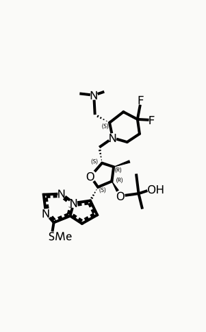 CSc1ncnn2c([C@@H]3O[C@H](CN4CCC(F)(F)C[C@H]4CN(C)C)[C@@H](C)[C@H]3OC(C)(C)O)ccc12